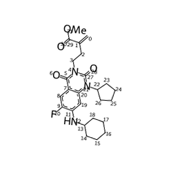 C=C(CCn1c(=O)c2cc(F)c(NC3CCCCC3)cc2n(C2CCCC2)c1=O)C(=O)OC